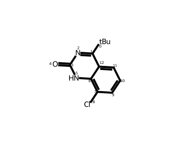 CC(C)(C)c1nc(=O)[nH]c2c(Cl)cccc12